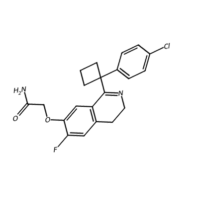 NC(=O)COc1cc2c(cc1F)CCN=C2C1(c2ccc(Cl)cc2)CCC1